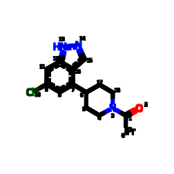 CC(C)C(=O)N1CCC(c2cc(Cl)cc3[nH]ncc23)CC1